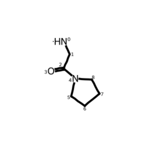 [NH]CC(=O)N1CCCC1